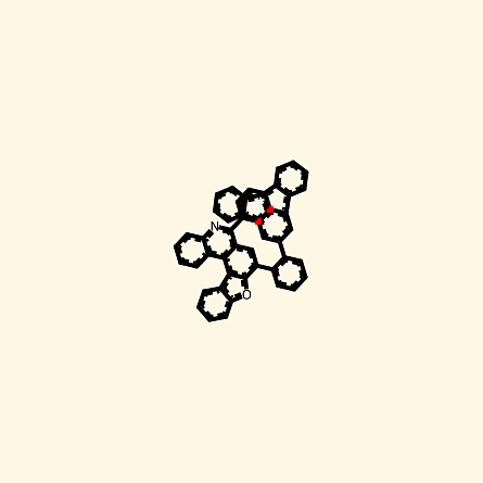 c1ccc(-c2nc3ccccc3c3c2cc(-c2ccccc2-c2cc4c5ccccc5n5c6ccccc6c(c2)c45)c2oc4ccccc4c23)cc1